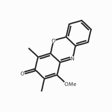 COc1c2nc3ccccc3oc-2c(C)c(=O)c1C